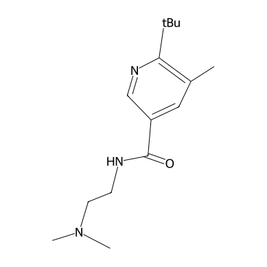 Cc1cc(C(=O)NCCN(C)C)cnc1C(C)(C)C